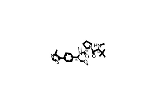 CN[C@H](C(=O)N1CCC[C@H]1C(=O)N[C@@H](COC)c1ccc(-c2scnc2C)cc1)C(C)(C)C